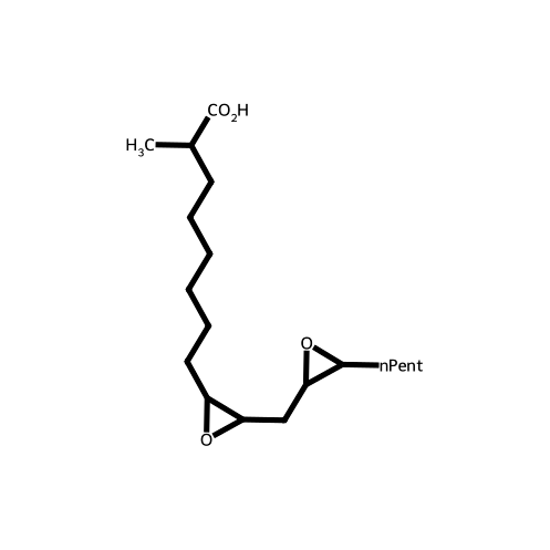 CCCCCC1OC1CC1OC1CCCCCCC(C)C(=O)O